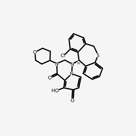 O=C1c2c(O)c(=O)ccn2N([C@@H]2c3ccccc3SCc3cccc(Cl)c32)CN1C1CCOCC1